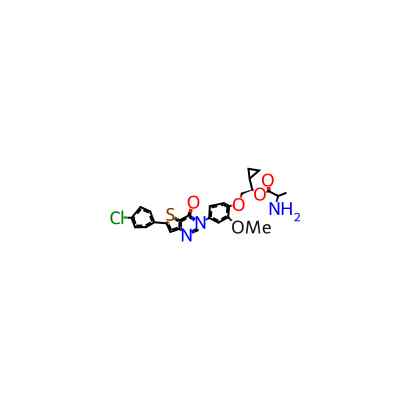 COc1cc(-n2cnc3cc(-c4ccc(Cl)cc4)sc3c2=O)ccc1OC[C@H](OC(=O)C(C)N)C1CC1